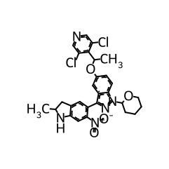 CC1Cc2cc(-c3nn(C4CCCCO4)c4ccc(OC(C)c5c(Cl)cncc5Cl)cc34)c([N+](=O)[O-])cc2N1